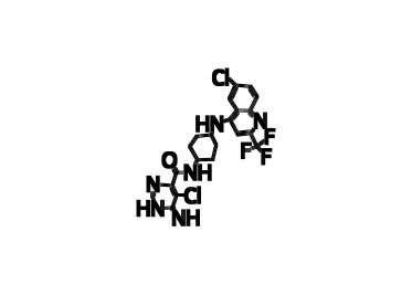 N=c1[nH]cnc(C(=O)NC2CCC(Nc3cc(C(F)(F)F)nc4ccc(Cl)cc34)CC2)c1Cl